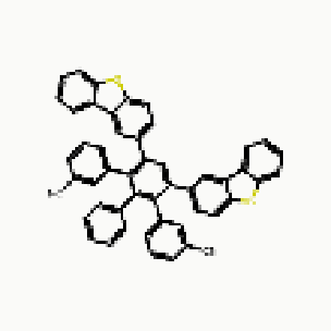 N#Cc1cccc(-c2c(-c3ccc4sc5ccccc5c4c3)cc(-c3ccc4sc5ccccc5c4c3)c(-c3cccc(C#N)c3)c2-c2ccccc2)c1